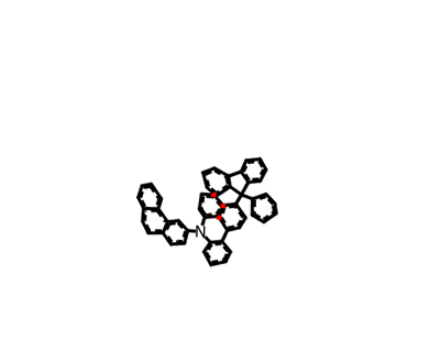 c1ccc(N(c2ccc3ccc4ccccc4c3c2)c2ccccc2-c2ccc(C3(c4ccccc4)c4ccccc4-c4ccccc43)cc2)cc1